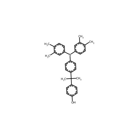 Cc1ccc(N(c2ccc(C(C)(C)c3ccc(O)cc3)cc2)c2ccc(C)c(C)c2)cc1C